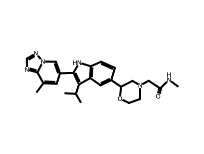 CNC(=O)CN1CCOC(c2ccc3[nH]c(-c4cc(C)c5ncnn5c4)c(C(C)C)c3c2)C1